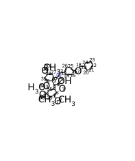 COC1=CC(C(C(=O)O)c2c(/C=C/c3ccc(OCc4ccccc4)cc3)cc(OC)cc2OC)=CC(OC)C1